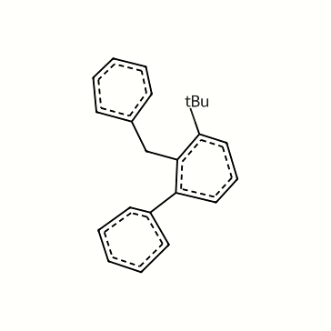 CC(C)(C)c1cccc(-c2ccccc2)c1Cc1ccccc1